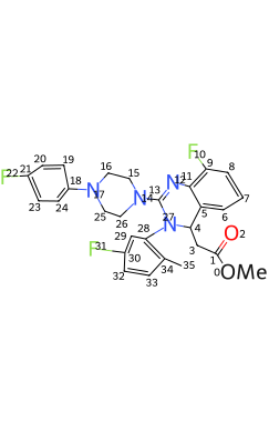 COC(=O)CC1c2cccc(F)c2N=C(N2CCN(c3ccc(F)cc3)CC2)N1c1cc(F)ccc1C